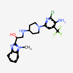 Cn1c(C(O)CNC2CCN(c3cc(C(F)(F)F)c(N)c(Cl)n3)CC2)nc2ccccc21